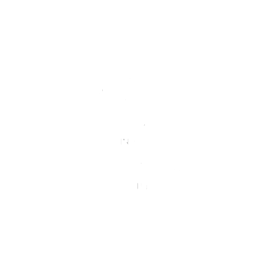 CC(C)(C)C(=O)NCC1CO1